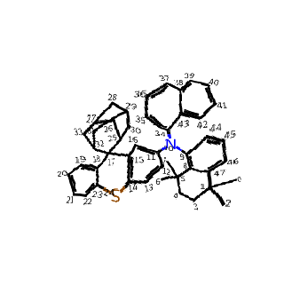 CC1(C)CCC(C)(C)c2c(N(c3ccc4c(c3)C3(c5ccccc5S4)C4CC5CC(C4)CC3C5)c3cccc4ccccc34)cccc21